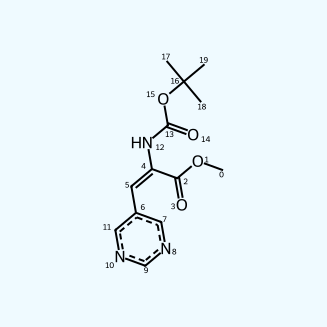 COC(=O)/C(=C\c1cncnc1)NC(=O)OC(C)(C)C